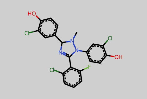 CN1C(c2ccc(O)c(Cl)c2)N=C(c2c(F)cccc2Cl)N1c1ccc(O)c(Cl)c1